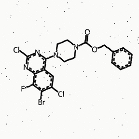 O=C(OCc1ccccc1)N1CCN(c2nc(Cl)nc3c(F)c(Br)c(Cl)cc23)CC1